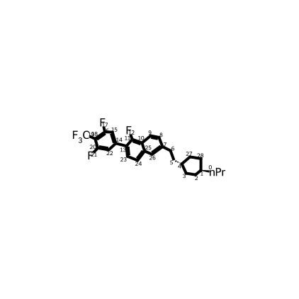 CCC[C@H]1CC[C@H](CCc2ccc3c(F)c(-c4cc(F)c(C(F)(F)F)c(F)c4)ccc3c2)CC1